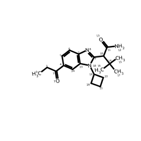 CCC(=O)c1ccc2nc(C(C(N)=O)C(C)(C)C)n(C3CCC3)c2c1